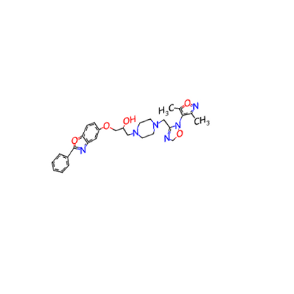 Cc1noc(C)c1N1OCN=C1CN1CCN(CC(O)COc2ccc3oc(-c4ccccc4)nc3c2)CC1